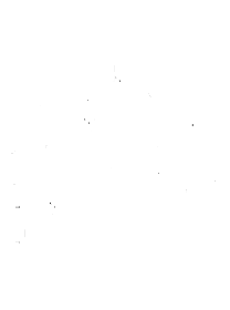 O=c1c(-c2ccccc2)c([O-])[nH]c2[n+]1C(c1ccc(Cl)nc1)SC2